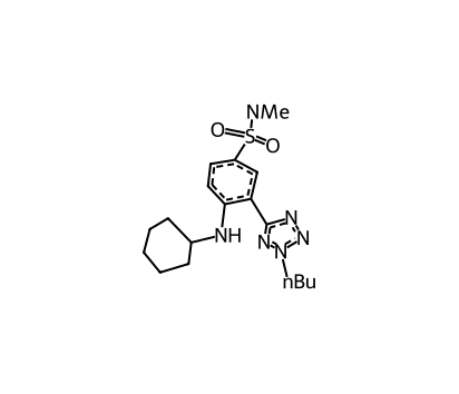 CCCCn1nnc(-c2cc(S(=O)(=O)NC)ccc2NC2CCCCC2)n1